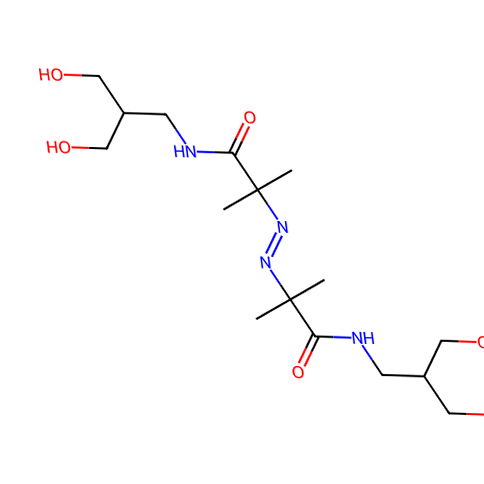 CC(C)(N=NC(C)(C)C(=O)NCC(CO)CO)C(=O)NCC(CO)CO